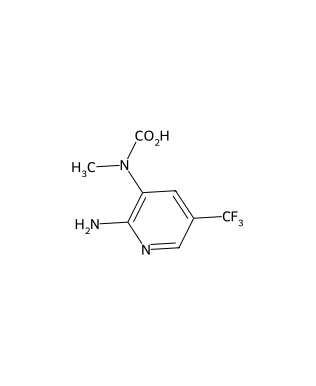 CN(C(=O)O)c1cc(C(F)(F)F)cnc1N